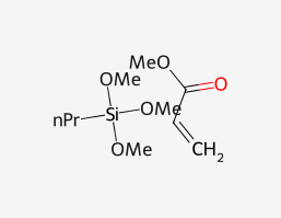 C=CC(=O)OC.CCC[Si](OC)(OC)OC